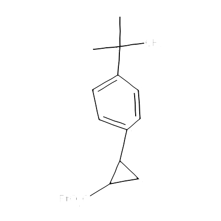 CCOC(=O)C1CC1c1ccc(C(C)(C)C(F)(F)F)cc1